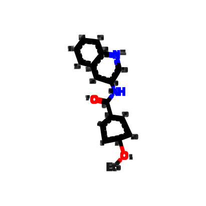 CCOc1ccc(C(=O)Nc2cnc3ccccc3c2)cc1